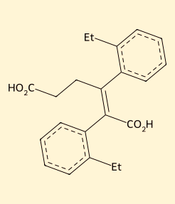 CCc1ccccc1/C(CCC(=O)O)=C(\C(=O)O)c1ccccc1CC